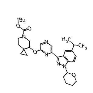 CC(c1ccc2c(c1)c(-c1cncc(OC3CN(C(=O)OC(C)(C)C)CCC34CC4)n1)nn2C1CCCCO1)C(F)(F)F